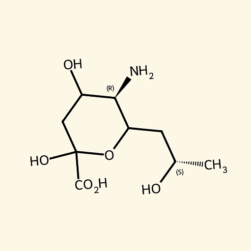 C[C@H](O)CC1OC(O)(C(=O)O)CC(O)[C@H]1N